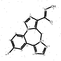 ON=C(Cl)c1ncn2c1Cn1ncnc1-c1cc(F)ccc1-2